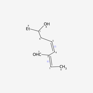 C/C=C(C=O)\C=C/CC(O)CC